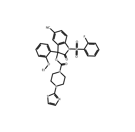 CCOc1ccccc1C1(OC(=O)N2CCN(c3nccs3)CC2)C(=O)N(S(=O)(=O)c2ccccc2F)c2ccc(C#N)cc21